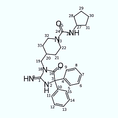 N=C1NC(c2ccccc2)(c2ccccc2)C(=O)N1CC1CCN(C(=O)NC2CCCC2)CC1